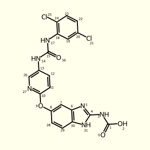 O=C(O)Nc1nc2cc(Oc3ccc(NC(=O)Nc4cc(Cl)ccc4Cl)cn3)ccc2[nH]1